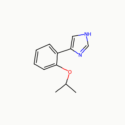 CC(C)Oc1ccccc1-c1c[nH]cn1